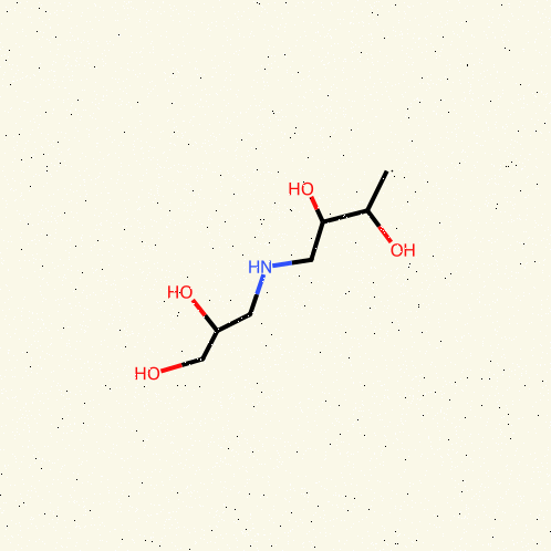 [CH2]C(O)C(O)CNCC(O)CO